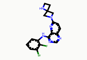 Fc1c(Br)cccc1Nc1ncnc2ccc(N3CC4(CCN4)C3)nc12